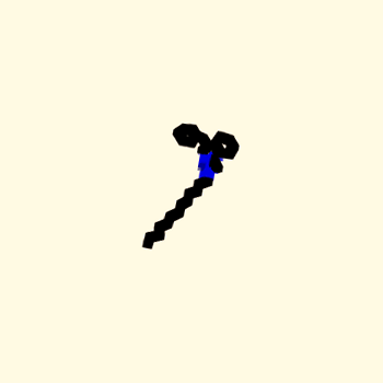 CCCCCCCCCCCCCn1cc[n+](CC(Cc2ccccc2)c2ccccc2)c1